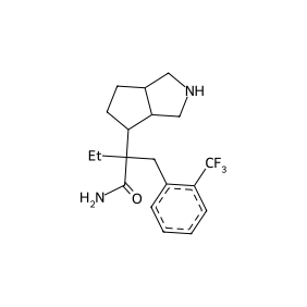 CCC(Cc1ccccc1C(F)(F)F)(C(N)=O)C1CCC2CNCC21